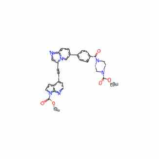 CC(C)(C)OC(=O)N1CCN(C(=O)c2ccc(-c3ccc4ncc(C#Cc5ccnc6c5ccn6C(=O)OC(C)(C)C)n4c3)cc2)CC1